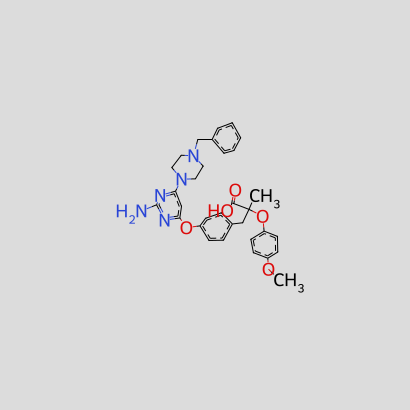 COc1ccc(OC(C)(Cc2ccc(Oc3cc(N4CCN(Cc5ccccc5)CC4)nc(N)n3)cc2)C(=O)O)cc1